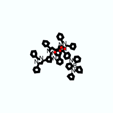 c1ccc(-c2cc(-c3ccc(-n4c5ccccc5c5cc(-c6nc(-c7ccccc7)nc(-c7ccccc7)n6)ccc54)c(-c4nc(-c5ccccc5)cc(-c5cccc(-c6ccc(N7c8ccccc8B8c9ccccc9N(c9ccccc9)c9cccc7c98)cc6)c5)n4)c3)nc(-c3ccccc3)n2)cc1